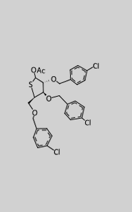 CC(=O)OC1S[C@H](COCc2ccc(Cl)cc2)[C@H](OCc2ccc(Cl)cc2)[C@H]1OCc1ccc(Cl)cc1